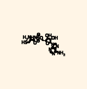 Nc1ncnc2c1ncn2[C@@H]1O[C@H](COS(=O)(=O)NC(=O)C(N)CS)[C@@H](O)[C@H]1O